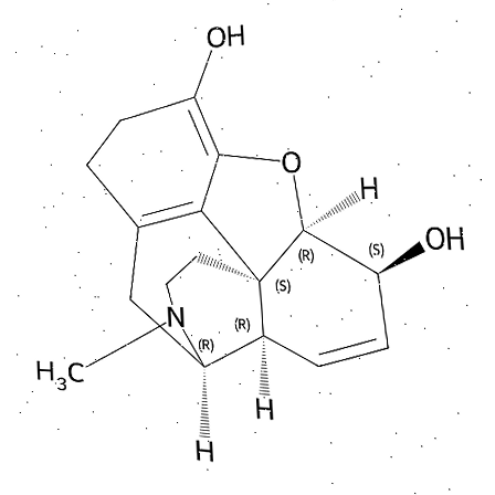 CN1CC[C@]23C4=C5CCC(O)=C4O[C@H]2[C@@H](O)C=C[C@H]3[C@H]1C5